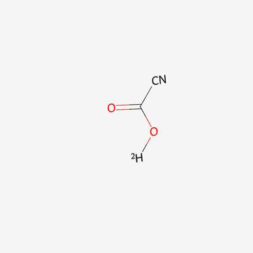 [2H]OC(=O)C#N